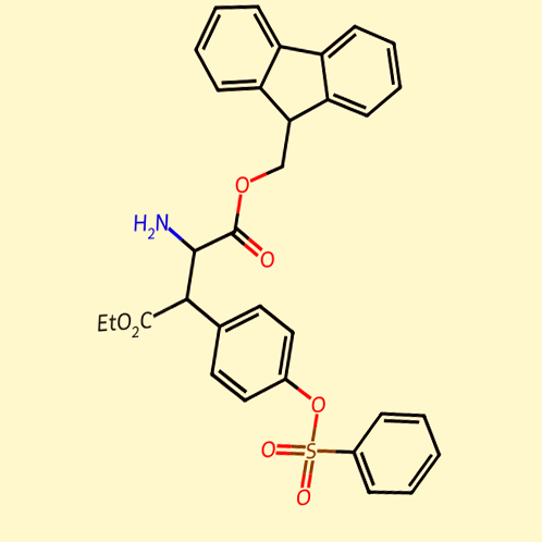 CCOC(=O)C(c1ccc(OS(=O)(=O)c2ccccc2)cc1)C(N)C(=O)OCC1c2ccccc2-c2ccccc21